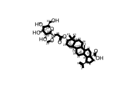 C=C(C)[C@@H]1CC[C@]2(C(=O)O)CC[C@]3(C)C(CCC4[C@@]5(C)CC[C@H](OC(=O)CN(OC)[C@@H]6O[C@H](CO)[C@@H](O)[C@@H](O)[C@H]6O)C(C)(C)C5CC[C@]43C)C12